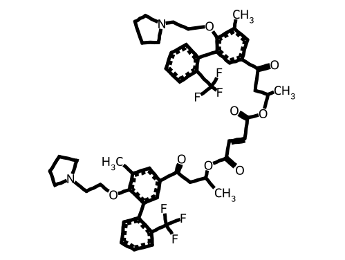 Cc1cc(C(=O)CC(C)OC(=O)/C=C/C(=O)OC(C)CC(=O)c2cc(C)c(OCCN3CCCC3)c(-c3ccccc3C(F)(F)F)c2)cc(-c2ccccc2C(F)(F)F)c1OCCN1CCCC1